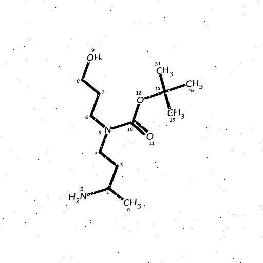 CC(N)CCN(CCCO)C(=O)OC(C)(C)C